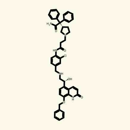 NC(=O)C(c1ccccc1)(c1ccccc1)[C@@H]1CCN(CCC(=O)Nc2ccc(CNC[C@H](O)c3ccc(OCc4ccccc4)c4[nH]c(=O)ccc34)cc2Cl)C1